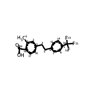 Cc1cc(CCc2ccc(C(F)(F)F)cc2)ccc1C(=O)O